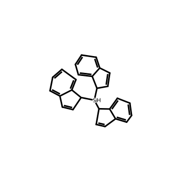 C1=CC([SiH](C2C=Cc3ccccc32)C2C=Cc3ccccc32)c2ccccc21